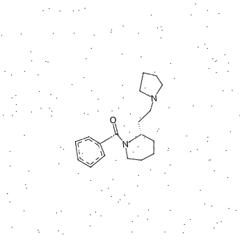 O=C(c1ccccc1)N1CCCC[C@H]1CCN1CCCC1